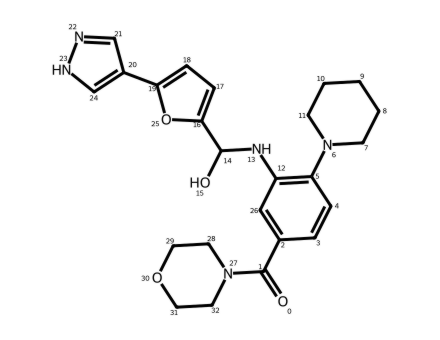 O=C(c1ccc(N2CCCCC2)c(NC(O)c2ccc(-c3cn[nH]c3)o2)c1)N1CCOCC1